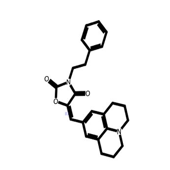 O=C1O/C(=C/c2cc3c4c(c2)CCCN4CCC3)C(=O)N1CCc1ccccc1